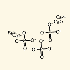 O=P([O-])([O-])[O-].O=P([O-])([O-])[O-].O=P([O-])([O-])[O-].[Ca+2].[Ca+2].[Ca+2].[Fe+3]